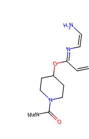 C=C/C(=N\C=C/N)OC1CCN(C(=O)NC)CC1